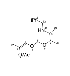 CO/C(C)=C\OCOC(C)C(C)NCC(C)C